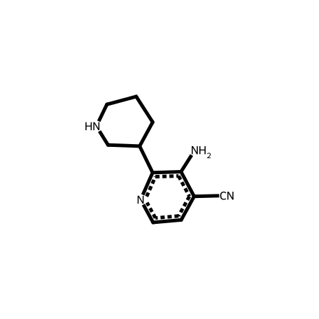 N#Cc1ccnc(C2CCCNC2)c1N